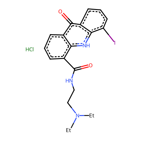 CCN(CC)CCNC(=O)c1cccc2c(=O)c3cccc(I)c3[nH]c12.Cl